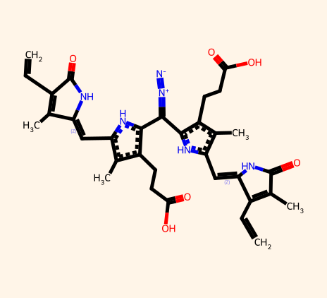 C=CC1=C(C)/C(=C/c2[nH]c(C(=[N+]=[N-])c3[nH]c(/C=C4\NC(=O)C(C)=C4C=C)c(C)c3CCC(=O)O)c(CCC(=O)O)c2C)NC1=O